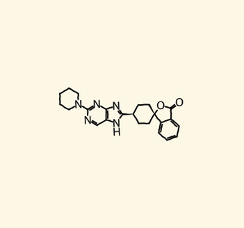 O=C1O[C@]2(CC[C@H](c3nc4nc(N5CCCCC5)ncc4[nH]3)CC2)c2ccccc21